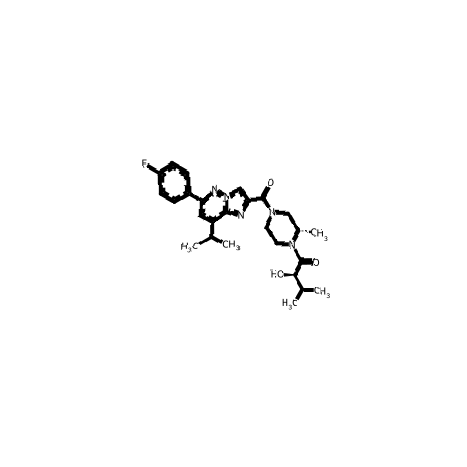 CC(C)c1cc(-c2ccc(F)cc2)nn2cc(C(=O)N3CCN(C(=O)[C@H](O)C(C)C)[C@@H](C)C3)nc12